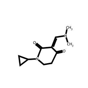 CN(C)C=C1C(=O)CCN(C2CC2)C1=O